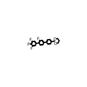 Fc1cc(-c2ccc(C3OCCCO3)cc2)ccc1-c1cc(F)c(F)c(F)c1